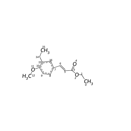 CCOC(=O)/C=C/c1ccc(OC)c(CC)c1